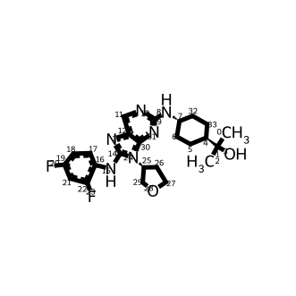 CC(C)(O)[C@H]1CC[C@H](Nc2ncc3nc(Nc4ccc(F)cc4F)n([C@@H]4CCOC4)c3n2)CC1